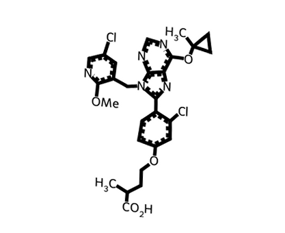 COc1ncc(Cl)cc1Cn1c(-c2ccc(OCCC(C)C(=O)O)cc2Cl)nc2c(OC3(C)CC3)ncnc21